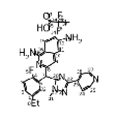 CCc1ccc(F)c(C(c2cc3cc(N)ccc3c(N)n2)c2nc(-c3ccncc3)nn2C)c1.O=C(O)C(F)(F)F